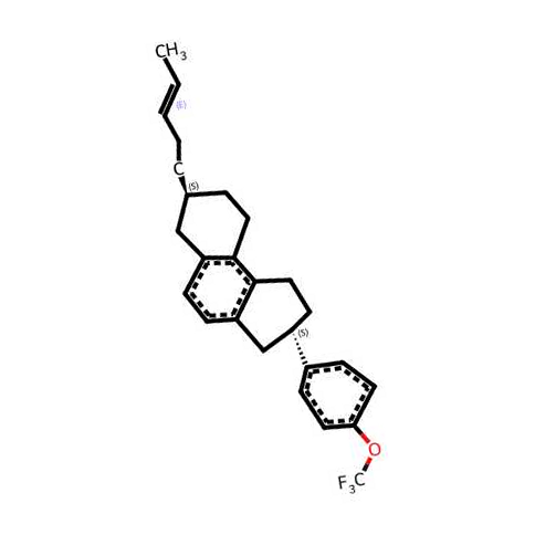 C/C=C/CC[C@H]1CCc2c(ccc3c2CC[C@H](c2ccc(OC(F)(F)F)cc2)C3)C1